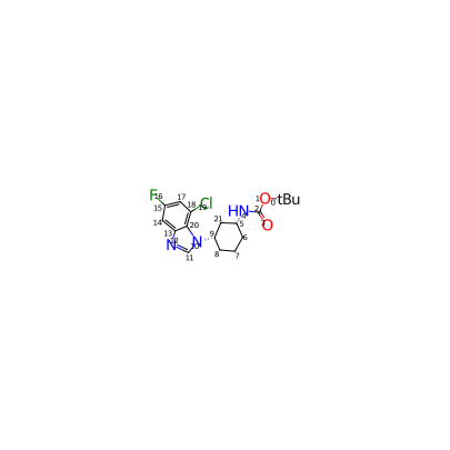 CC(C)(C)OC(=O)N[C@@H]1CCC[C@H](n2cnc3cc(F)cc(Cl)c32)C1